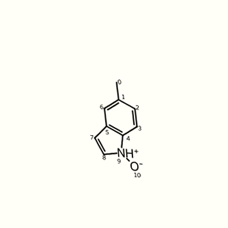 Cc1ccc2c(c1)C=C[NH+]2[O-]